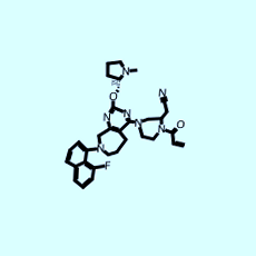 C=CC(=O)N1CCN(c2nc(OC[C@@H]3CCCN3C)nc3c2CCCN(c2cccc4cccc(F)c24)C3)CC1CC#N